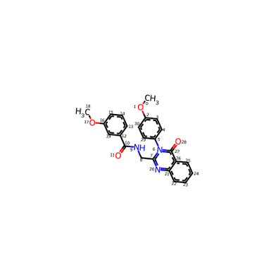 COc1ccc(-n2c(CNC(=O)c3cccc(OC)c3)nc3ccccc3c2=O)cc1